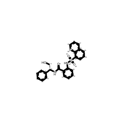 O=C(N[C@@H](CO)c1ccccc1)c1ccccc1NS(=O)(=O)c1cccc2cccnc12